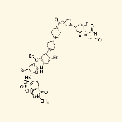 CCOc1cc(N2CCC(N3CCN(C(=O)[C@@H]4CCN(c5cc(F)c([C@H]6CCC(=O)NC6=O)c(F)c5)C4)CC3)CC2)c(CC)cc1Nc1ncc(Br)c(Nc2ccc3c(=O)n(C)ncc3c2P(C)(C)=O)n1